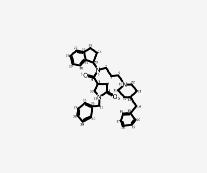 O=C1CC(C(=O)N(CCCN2CCC(Cc3ccccc3)CC2)C2CCc3ccccc32)CN1Cc1ccccc1